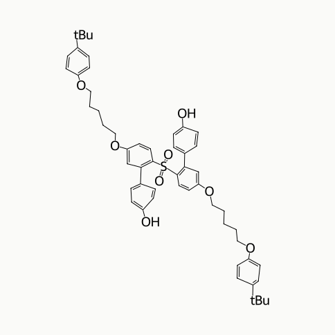 CC(C)(C)c1ccc(OCCCCCOc2ccc(S(=O)(=O)c3ccc(OCCCCCOc4ccc(C(C)(C)C)cc4)cc3-c3ccc(O)cc3)c(-c3ccc(O)cc3)c2)cc1